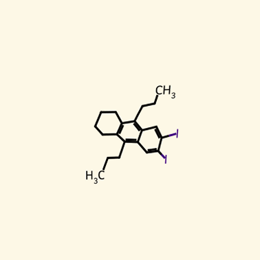 CCCc1c2c(c(CCC)c3cc(I)c(I)cc13)CCCC2